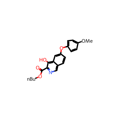 CCCCOC(=O)c1ncc2ccc(Oc3ccc(OC)cc3)cc2c1O